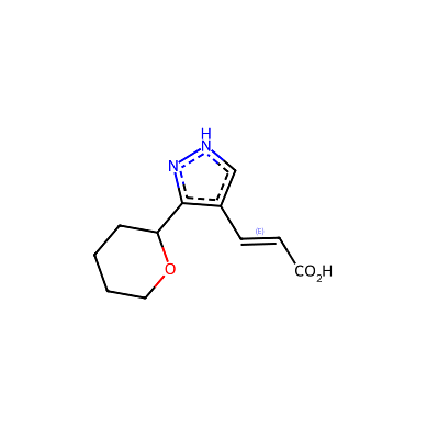 O=C(O)/C=C/c1c[nH]nc1C1CCCCO1